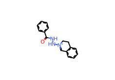 O=C(NN[N+]1=Cc2ccccc2CC1)c1ccccc1